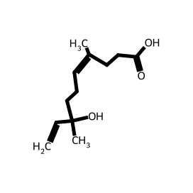 C=CC(C)(O)CCC=C(C)CCC(=O)O